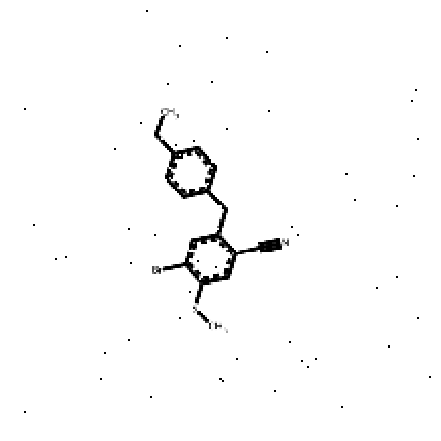 CCc1ccc(Cc2cc(Br)c(SC)cc2C#N)cc1